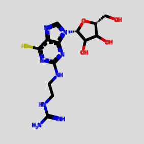 N=C(N)NCCNc1nc(S)c2ncn([C@@H]3O[C@H](CO)C(O)C3O)c2n1